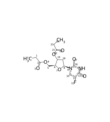 CCC(=O)OC[C@@H]1O[C@H](n2cc(F)c(=O)[nH]c2=O)CC1OC(=O)CC